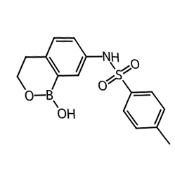 Cc1ccc(S(=O)(=O)Nc2ccc3c(c2)B(O)OCC3)cc1